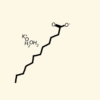 CCCCCCCCCCCC(=O)[O-].O.O.[K+]